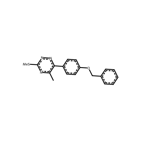 CSc1nnc(-c2ccc(OCc3ccccc3)cc2)c(C)n1